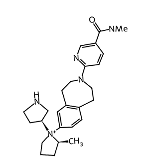 CNC(=O)c1ccc(N2CCc3ccc([N+]4([C@H]5CCNC5)CCC[C@@H]4C)cc3CC2)nc1